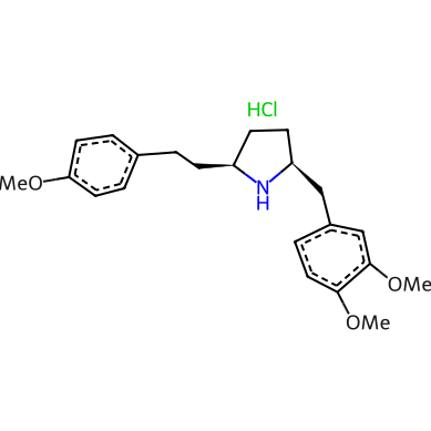 COc1ccc(CC[C@H]2CC[C@@H](Cc3ccc(OC)c(OC)c3)N2)cc1.Cl